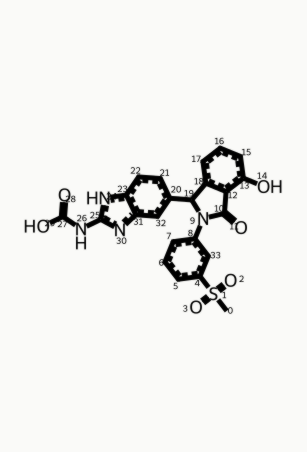 CS(=O)(=O)c1cccc(N2C(=O)c3c(O)cccc3C2c2ccc3[nH]c(NC(=O)O)nc3c2)c1